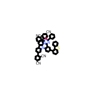 N#Cc1ccc(-c2ccc3c4ccc(-c5ccc(C#N)cc5C#N)cc4n(-c4ccc(-c5cccc6sc7ccccc7c56)cc4-c4nc(-c5ccccc5)nc(-c5ccccc5)n4)c3c2)c(C#N)c1